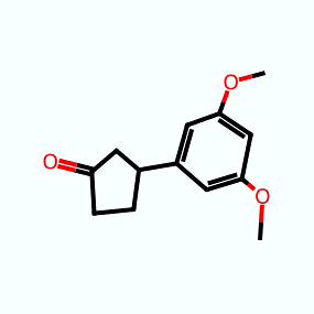 COc1cc(OC)cc(C2CCC(=O)C2)c1